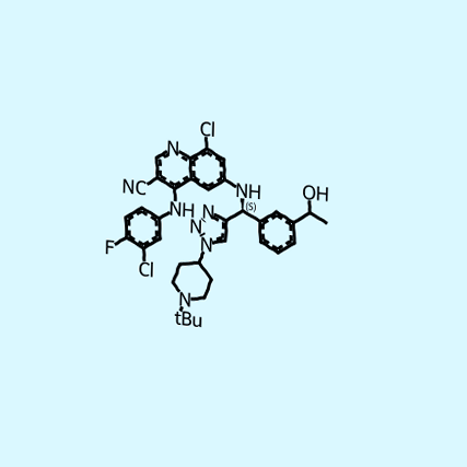 CC(O)c1cccc([C@H](Nc2cc(Cl)c3ncc(C#N)c(Nc4ccc(F)c(Cl)c4)c3c2)c2cn(C3CCN(C(C)(C)C)CC3)nn2)c1